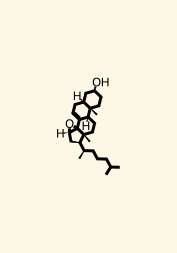 CC(C)CCC[C@@H](C)[C@H]1C[C@H]2OC23C2=CC[C@H]4C[C@@H](O)CC[C@]4(C)[C@H]2CC[C@]13C